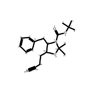 CC(C)(C)OC(=O)N1C(Cc2ccccc2)C(CCC#N)OC1(C)C